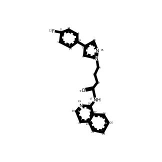 O=C(CCCn1cc(-c2ccc(F)cc2)cn1)Nc1nccc2ccccc12